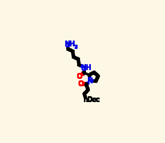 CCCCCCCCCCCCC(=O)N1CCC[C@@H]1C(=O)NCCCCCN